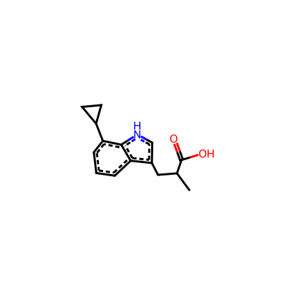 CC(Cc1c[nH]c2c(C3CC3)cccc12)C(=O)O